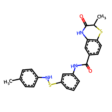 Cc1ccc(NSc2cccc(NC(=O)c3ccc4c(c3)NC(=O)C(C)S4)c2)cc1